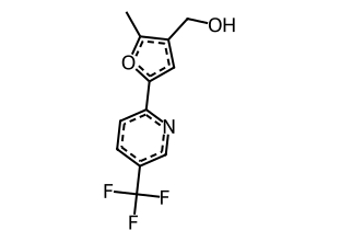 Cc1oc(-c2ccc(C(F)(F)F)cn2)cc1CO